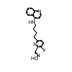 O/N=C/c1nc(CCCCNc2ccnc3ccccc23)ccc1F